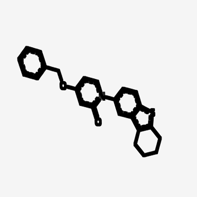 O=c1cc(OCc2ccccc2)ccn1-c1ccc2sc3c(c2c1)CCCC3